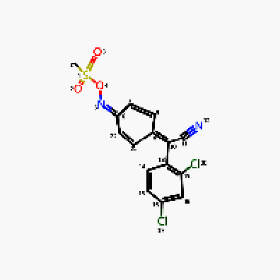 CS(=O)(=O)ON=C1C=CC(=C(C#N)c2ccc(Cl)cc2Cl)C=C1